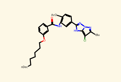 CCCCCCCCCCCCCCCCOc1cccc(C(=O)Nc2cc(-c3nn4nc(C(C)(C)C)c(Cl)c4[nH]3)ccc2OC(C)=O)c1